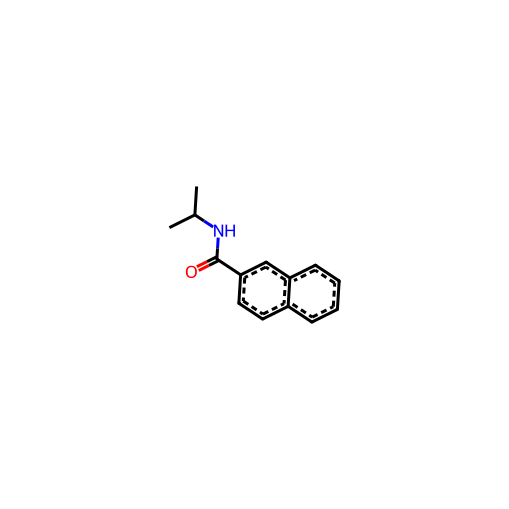 CC(C)NC(=O)c1ccc2ccccc2c1